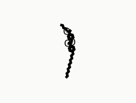 CCCCCCCCCCCCc1ccc(C(=O)Oc2ccc(C(C)OCCCC)cc2)cc1